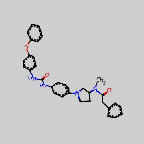 CN(C(=O)Cc1ccccc1)C1CCN(c2ccc(NC(=O)Nc3ccc(Oc4ccccc4)cc3)cc2)C1